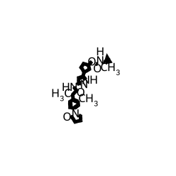 Cc1cc(N2CCCC2=O)ccc1C(C)C(=O)Nc1cc(C2CCC(OC(=O)NC3(C)CC3)C2)[nH]n1